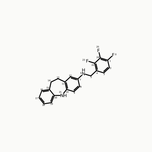 Fc1ccc(CNc2ccc3c(c2)CCc2ccccc2N3)c(F)c1F